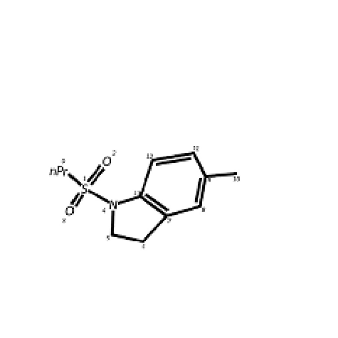 CCCS(=O)(=O)N1CCc2cc(C)ccc21